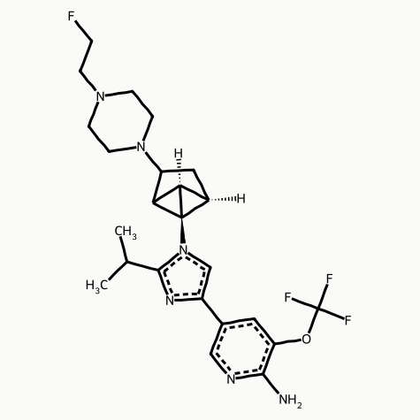 CC(C)c1nc(-c2cnc(N)c(OC(F)(F)F)c2)cn1[C@]12C3C(N4CCN(CCF)CC4)C[C@@H]1[C@H]32